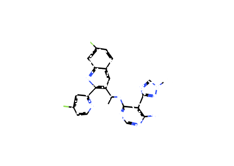 CC(Nc1ncnc(N)c1-c1ncn(C)n1)c1cc2ccc(F)cc2nc1-c1cc(F)ccn1